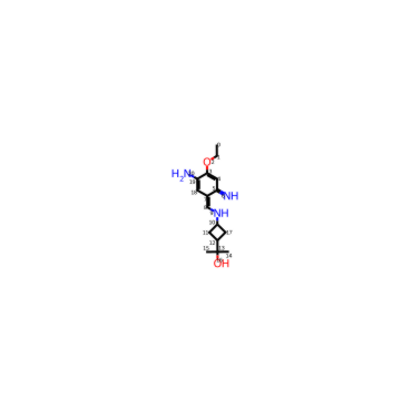 CCOC1=CC(=N)/C(=C\NC2CC(C(C)(C)O)C2)C=C1N